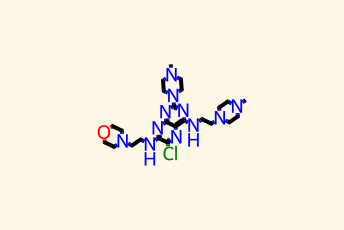 CN1CCN(CCNc2nc(N3CCN(C)CC3)nc3nc(NCCN4CCOCC4)c(Cl)nc23)CC1